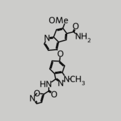 COc1cc2nccc(Oc3ccc4c(NC(=O)c5ccno5)nn(C)c4c3)c2cc1C(N)=O